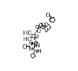 COP(=O)(CP1(=O)OCC[C@@H](c2cccc(Cl)c2)O1)OC[C@H]1O[C@@H](c2cnc3c(NC4CCCC4)nc(Cl)nn23)[C@H](O)[C@@H]1O